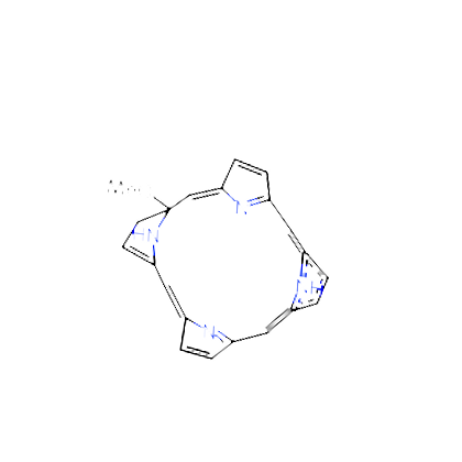 COC12C=C3C=CC(=N3)C=c3ccc([nH]3)=CC3=NC(=CC(=CC1)N2)C=C3